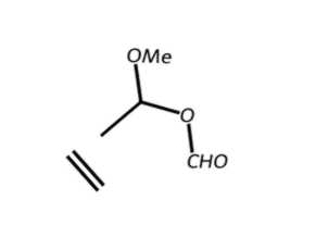 C=C.COC(C)OC=O